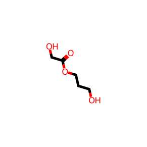 O=C(CO)OCCCO